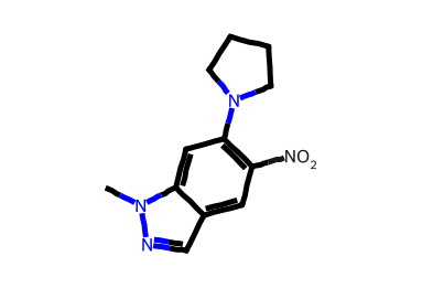 Cn1ncc2cc([N+](=O)[O-])c(N3CCCC3)cc21